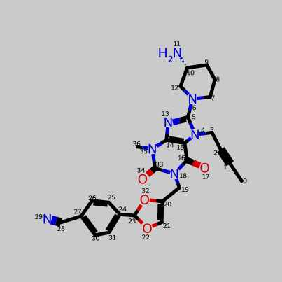 CC#CCn1c(N2CCC[C@@H](N)C2)nc2c1c(=O)n(CC1=COC(c3ccc(C#N)cc3)O1)c(=O)n2C